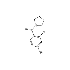 CC(C)c1ccc(C(=O)N2CCCC2)c(Cl)c1